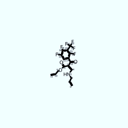 C=CCNC=C(C(=O)OCC=C)C(=O)c1cc(F)c(F)c(C(F)(F)F)c1F